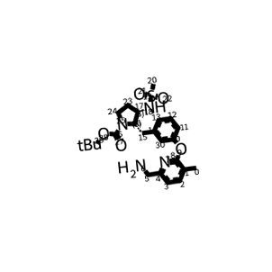 Cc1ccc(CN)nc1Oc1cccc(C[C@H]2[C@@H](NS(C)(=O)=O)CCN2C(=O)OC(C)(C)C)c1